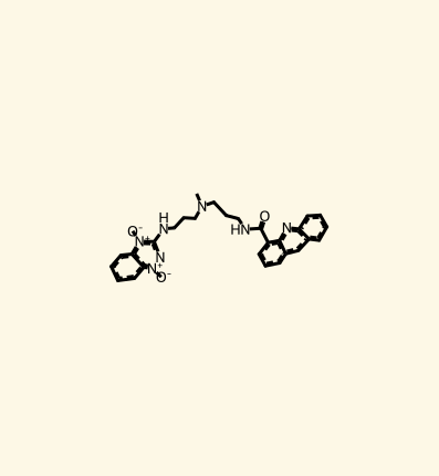 CN(CCCNC(=O)c1cccc2cc3ccccc3nc12)CCCNc1n[n+]([O-])c2ccccc2[n+]1[O-]